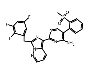 CS(=O)(=O)c1ccccc1-c1cnc(-c2nc(Cc3cc(F)cc(F)c3F)n3ncccc23)nc1N